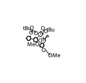 COCCCOc1cc(CN(C(=O)[C@H]2CN(C(=O)OC(C)(C)C)C[C@@H](OCC(=O)OC(C)(C)C)[C@@H]2c2cccc(-c3ccccc3)c2)C2CC2)cc(OC)c1